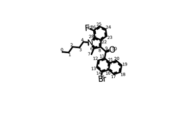 CCCCCn1c(C)c(C(=O)c2ccc(Br)c3ccccc23)c2cccc(F)c21